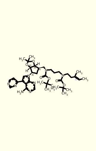 C/C=C(\C)CCN(CCCN(C[C@H]1C[C@@H](n2cc(-c3ccncn3)c3c(N)ncnc32)[C@@H]2OC(C)(C)O[C@H]12)C(=O)OC(C)(C)C)C(=O)OC(C)(C)C